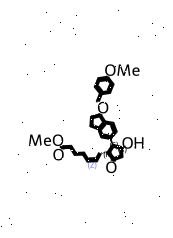 COC(=O)CCC/C=C\C[C@H]1C(=O)C[C@@H](O)[C@@H]1c1ccc2c(c1)CCC2OCc1ccc(OC)cc1